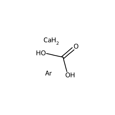 O=C(O)O.[Ar].[CaH2]